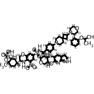 CC(C)Oc1ccccc1[C@@H]1COCCN1C1CC2(CCN(c3ccc(C(=O)NS(=O)(=O)c4cc5c(c([N+](=O)[O-])c4)N[C@H](C4(F)CCC(C)(OP(=O)(O)O)CC4)CO5)c(N4c5cc6cc[nH]c6nc5O[C@H]5COCC[C@@H]54)c3)CC2)C1